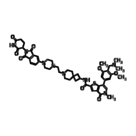 COc1cc(-c2cn(C)c(=O)c3cc(C(=O)NC4CC5(CCN(CCN6CCN(c7ccc8c(c7)C(=O)N(C7CCC(=O)NC7=O)C8=O)CC6)CC5)C4)sc23)cc(OC)c1CN(C)C